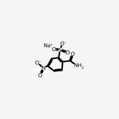 NC(=O)c1ccc([N+](=O)[O-])cc1S(=O)(=O)[O-].[Na+]